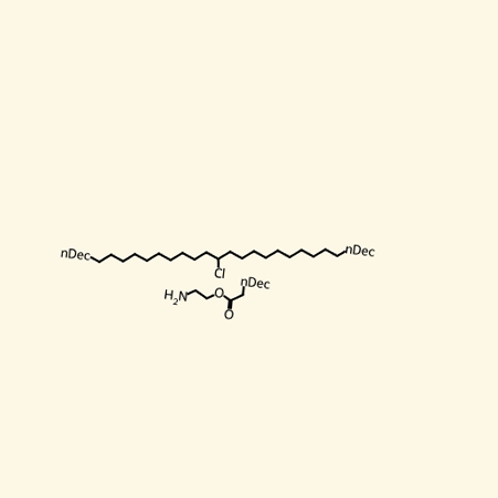 CCCCCCCCCCCC(=O)OCCN.CCCCCCCCCCCCCCCCCCCCC(Cl)CCCCCCCCCCCCCCCCCCCC